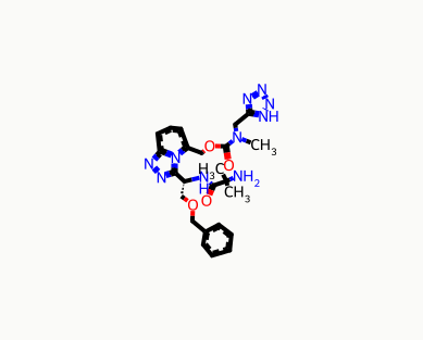 CN(Cc1nnn[nH]1)C(=O)OCc1cccc2nnc([C@@H](COCc3ccccc3)NC(=O)C(C)(C)N)n12